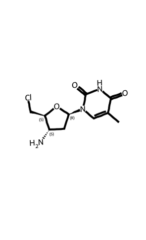 Cc1cn([C@H]2C[C@H](N)[C@@H](CCl)O2)c(=O)[nH]c1=O